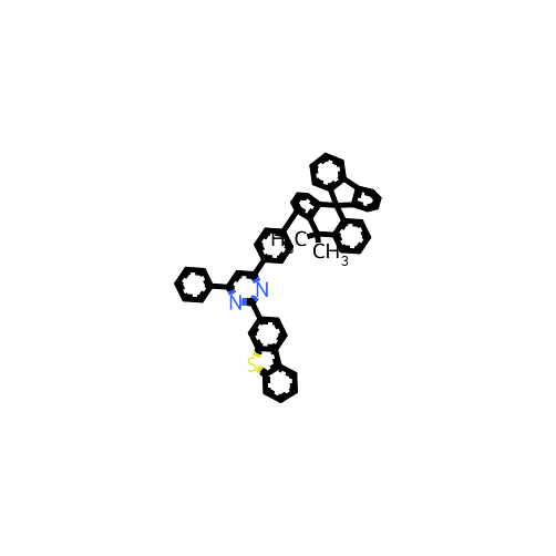 CC1(C)c2ccccc2C2(c3ccccc3-c3ccccc32)c2cccc(-c3ccc(-c4cc(-c5ccccc5)nc(-c5ccc6c(c5)sc5ccccc56)n4)cc3)c21